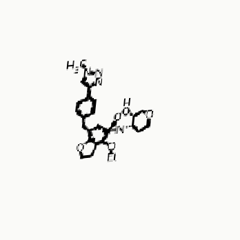 CCOc1c(C(=O)N[C@H]2CCOC[C@@H]2O)cc(Cc2ccc(-c3cn(C)nn3)cc2)c2c1CCO2